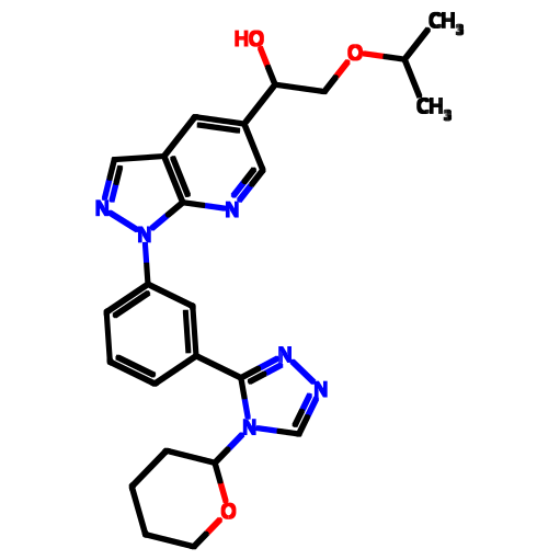 CC(C)OCC(O)c1cnc2c(cnn2-c2cccc(-c3nncn3C3CCCCO3)c2)c1